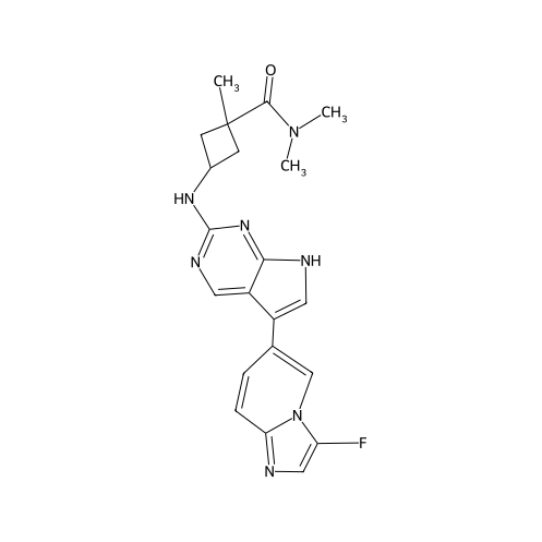 CN(C)C(=O)C1(C)CC(Nc2ncc3c(-c4ccc5ncc(F)n5c4)c[nH]c3n2)C1